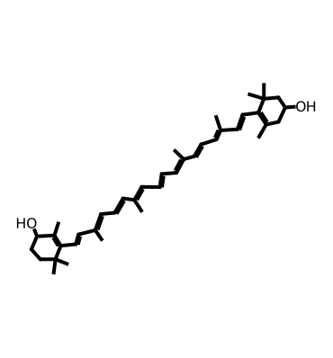 CC1=C(/C=C/C(C)=C/C=C/C(C)=C/C=C/C=C(C)/C=C/C=C(C)/C=C/C2=C(C)C(O)CCC2(C)C)C(C)(C)CC(O)C1